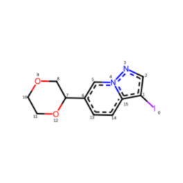 Ic1cnn2cc(C3COCCO3)ccc12